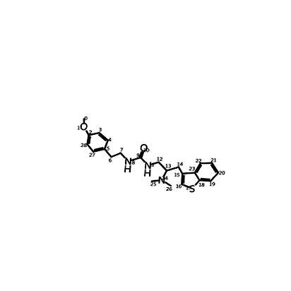 COc1ccc(CCNC(=O)NCC(Cc2csc3ccccc23)N(C)C)cc1